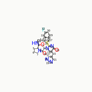 CCCCCCNC(=O)[C@@H]1CCCN1C(=O)Cn1cc(Cc2cncnc2)c(=O)nc1SCc1ccc(F)cc1